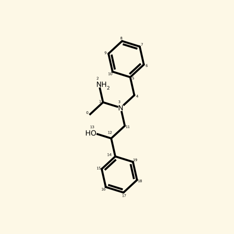 CC(N)N(Cc1ccccc1)CC(O)c1ccccc1